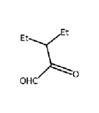 CCC(CC)C(=O)C=O